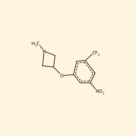 CN1CC(Oc2cc([N+](=O)[O-])cc(C(F)(F)F)c2)C1